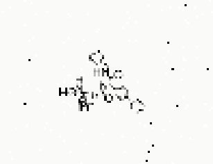 CC(C)C[C@H](CC(=O)NO)C(=O)N(C)C(C(=O)NCc1ccccc1)c1ccc(-c2ccccc2)cc1